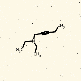 CCC#CCN(CC)CC